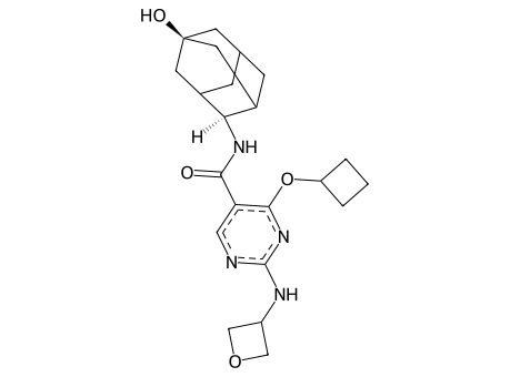 O=C(N[C@H]1C2CC3CC1C[C@@](O)(C3)C2)c1cnc(NC2COC2)nc1OC1CCC1